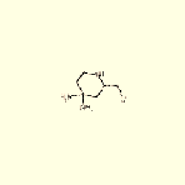 NC1(N)CCNC(CCl)C1